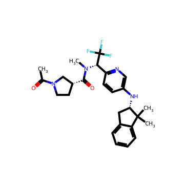 CC(=O)N1CC[C@@H](C(=O)N(C)[C@@H](c2ccc(N[C@H]3Cc4ccccc4C3(C)C)cn2)C(F)(F)F)C1